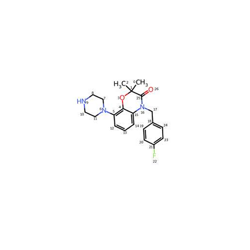 CC1(C)Oc2c(N3CCNCC3)cccc2N(Cc2ccc(F)cc2)C1=O